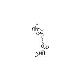 CCC(CC)NCC(C)C(=O)OCCCCOC(=O)C(C)CNC(CC)CC